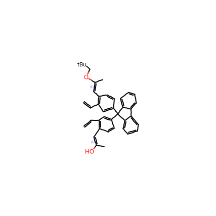 C=Cc1cc(C2(c3ccc(/C=C(\C)OCC(C)(C)C)c(C=C)c3)c3ccccc3-c3ccccc32)ccc1/C=C(\C)O